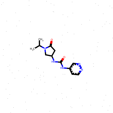 CC(C)N1CC(NC(=O)Nc2ccnnc2)CC1=O